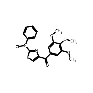 COc1cc(C(=O)c2csc(N(Cl)c3ccccc3)n2)cc(OC)c1OC